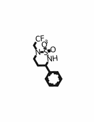 O=S1(=O)NC(c2ccccc2)CCN1CC(F)(F)F